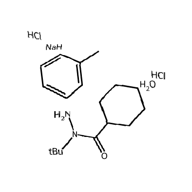 CC(C)(C)N(N)C(=O)C1CCCCC1.Cc1ccccc1.Cl.Cl.O.[NaH]